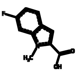 Cn1c(C(=O)O)cc2ccc(F)cc21